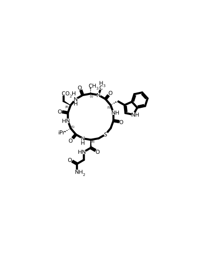 CC(C)[C@@H]1NC(=O)[C@@H](CC(=O)O)NC(=O)[C@H](C)N(C)C(=O)[C@H](Cc2c[nH]c3ccccc23)NC(=O)CSC[C@@H](C(=O)NCC(N)=O)NC1=O